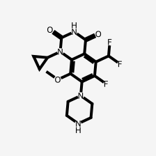 COc1c(N2CCNCC2)c(F)c(C(F)F)c2c(=O)[nH]c(=O)n(C3CC3)c12